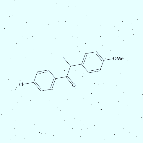 COc1ccc(C(C)C(=O)c2ccc(Cl)cc2)cc1